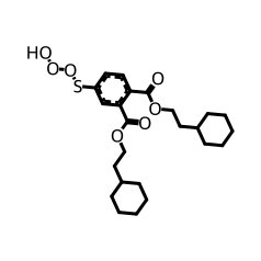 O=C(OCCC1CCCCC1)c1ccc(SOOO)cc1C(=O)OCCC1CCCCC1